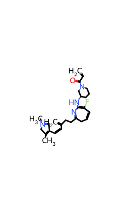 C=CC(=O)N1CCC[C@@H](NC2=C(F)C=CCC(CCC(=C)/C=C\C3=C(C)CN(C)C3)=N2)C1